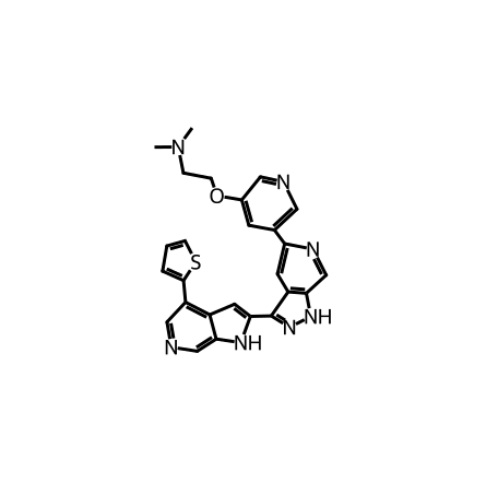 CN(C)CCOc1cncc(-c2cc3c(-c4cc5c(-c6cccs6)cncc5[nH]4)n[nH]c3cn2)c1